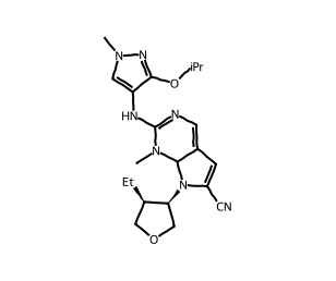 CC[C@@H]1COC[C@@H]1N1C(C#N)=CC2=CN=C(Nc3cn(C)nc3OC(C)C)N(C)C21